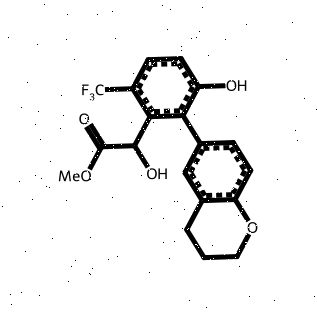 COC(=O)C(O)c1c(C(F)(F)F)ccc(O)c1-c1ccc2c(c1)CCCO2